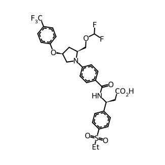 CCS(=O)(=O)c1ccc([C@H](CC(=O)O)NC(=O)c2ccc(N3C[C@@H](Oc4ccc(C(F)(F)F)cc4)C[C@H]3COC(F)F)cc2)cc1